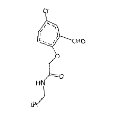 CC(C)CNC(=O)COc1ccc(Cl)cc1C=O